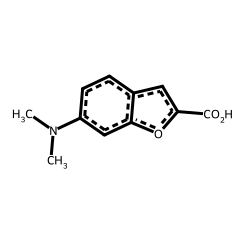 CN(C)c1ccc2cc(C(=O)O)oc2c1